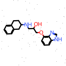 OC(CNC1CCc2ccccc2C1)COc1cccc2[nH]cnc12